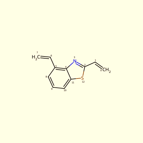 C=Cc1nc2c(C=C)cccc2s1